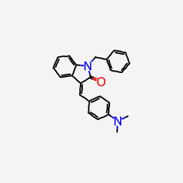 CN(C)c1ccc(/C=C2\C(=O)N(Cc3ccccc3)c3ccccc32)cc1